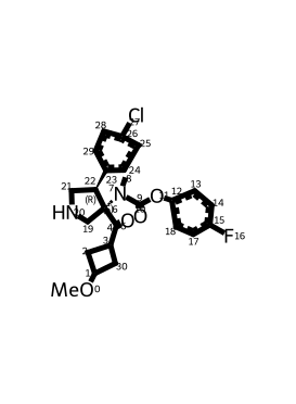 COC1CC(C(=O)[C@@]2(N(C)C(=O)Oc3ccc(F)cc3)CNC[C@H]2c2ccc(Cl)cc2)C1